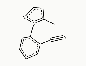 Cc1ccnn1-c1ccccc1C#N